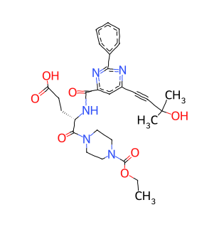 CCOC(=O)N1CCN(C(=O)[C@H](CCC(=O)O)NC(=O)c2cc(C#CC(C)(C)O)nc(-c3ccccc3)n2)CC1